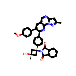 COc1ccc(-c2cc3cnc4cc(C)nn4c3nc2-c2ccc([C@]3(N4C(=O)c5ccccc5C4=O)C[C@@](C)(O)C3)cc2)cc1